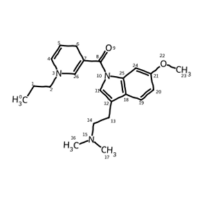 CCCN1C=CCC(C(=O)n2cc(CCN(C)C)c3ccc(OC)cc32)=C1